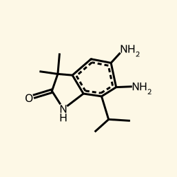 CC(C)c1c(N)c(N)cc2c1NC(=O)C2(C)C